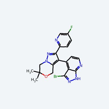 CC1(C)Cn2nc(-c3ccc(F)cn3)c(-c3ccnc4[nH]nc(Br)c34)c2CO1